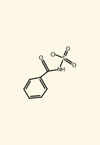 O=C(NS(=O)(=O)Cl)c1ccccc1